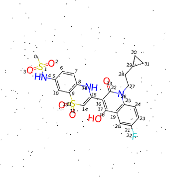 CS(=O)(=O)Nc1ccc2c(c1)S(=O)(=O)C=C(c1c(O)c3cc(F)ccc3n(CCC3CC3)c1=O)N2